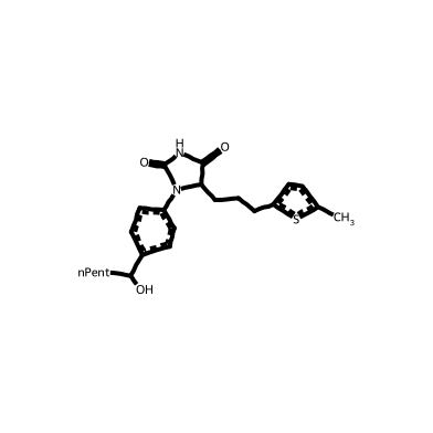 CCCCCC(O)c1ccc(N2C(=O)NC(=O)C2CCCc2ccc(C)s2)cc1